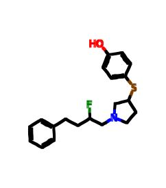 Oc1ccc(SC2CCN(CC(F)CCc3ccccc3)C2)cc1